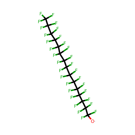 [O]C(F)(F)C(F)(F)C(F)(F)C(F)(F)C(F)(F)C(F)(F)C(F)(F)C(F)(F)C(F)(F)C(F)(F)C(F)(F)C(F)(F)C(F)(F)C(F)(F)C(F)(F)F